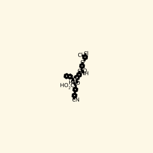 N#Cc1ccc(-c2ccc(CC(NC(=O)C3Cc4cc5c(cc4CN3C(=O)c3ccc4ccccc4c3)OC(c3ccc(OCc4ccc(Cl)c(Cl)c4)cc3)C(=O)N5)C(=O)O)cc2)cc1